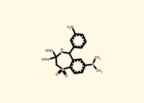 CCCCCCC1(CCCCCC)CS(=O)(=O)c2ccc(N(C)C)cc2C(c2cccc(N)c2)N1